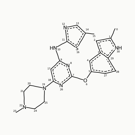 Cc1cc2cc(Oc3nc(Nc4ncc(C)s4)cc(N4CCN(C)CC4)n3)ccc2[nH]1